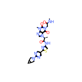 CNC(=O)Cn1c(=O)c2c(ncn2[C@@H](C)C(=O)Nc2csc(-c3cnc(N4CC5CC5C4)nc3)n2)n(C)c1=O